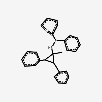 CC1(BP(c2ccccc2)c2ccccc2)C(c2ccccc2)C1c1ccccc1